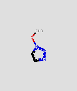 O=COn1ccnn1